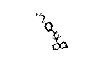 CCOc1ccc(-c2noc(N3CCCc4ccccc43)n2)cc1